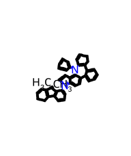 CC1(C)C2=C(CCC=C2)c2cccc(-n3ccc4c5c(ccc43)-c3ccccc3C3=C(C=CCC3)N5c3ccccc3)c21